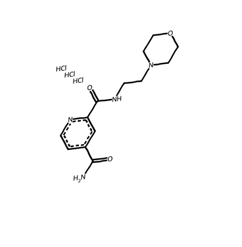 Cl.Cl.Cl.NC(=O)c1ccnc(C(=O)NCCN2CCOCC2)c1